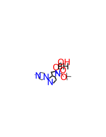 CN1CCN(c2nccc3c2cc(OBO)n3C(=O)OC(C)(C)C)CC1